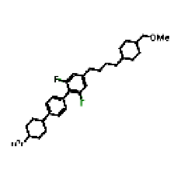 CCCC1CCC(c2ccc(-c3c(F)cc(CCCCC4CCC(COC)CC4)cc3F)cc2)CC1